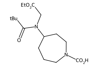 CCOC(=O)CN(C(=O)C(C)(C)C)C1CCCN(C(=O)O)CC1